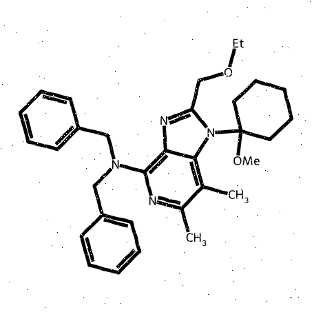 CCOCc1nc2c(N(Cc3ccccc3)Cc3ccccc3)nc(C)c(C)c2n1C1(OC)CCCCC1